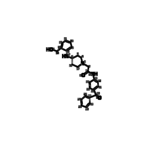 O=C(CN1CCC(Nc2ccccc2CO)CC1)Nc1ccc(C(=O)c2ccccc2)cc1